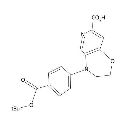 CC(C)(C)OC(=O)c1ccc(N2CCOc3cc(C(=O)O)ncc32)cc1